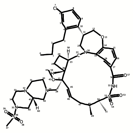 CCCCc1cc(Cl)ccc1[C@@H]1COc2ccc3cc2N(C1)C[C@@H]1CC[C@H]1[C@](CN1CCN2CCN(S(C)(=O)=O)C[C@H]2C1)(OC)/C=C/C[C@H](C)[C@@H](C)S(=O)(=O)NC3=O